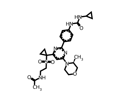 CC(=O)NCCS(=O)(=O)C1(c2cc(N3CCOC[C@@H]3C)nc(-c3ccc(NC(=O)NC4CC4)cc3)n2)CC1